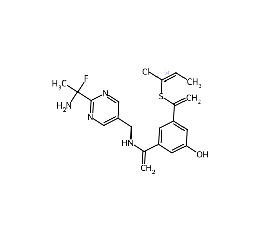 C=C(NCc1cnc(C(C)(N)F)nc1)c1cc(O)cc(C(=C)S/C(Cl)=C\C)c1